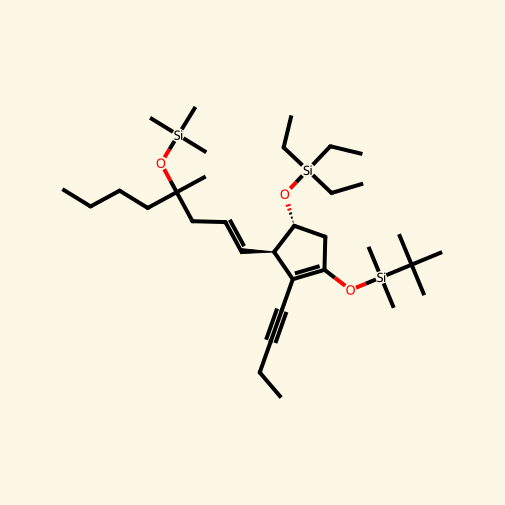 CCC#CC1=C(O[Si](C)(C)C(C)(C)C)C[C@@H](O[Si](CC)(CC)CC)[C@@H]1/C=C/CC(C)(CCCC)O[Si](C)(C)C